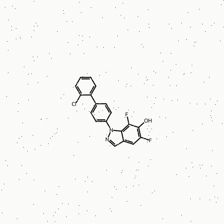 Oc1c(F)cc2cnn(-c3ccc(-c4ccccc4Cl)cc3)c2c1F